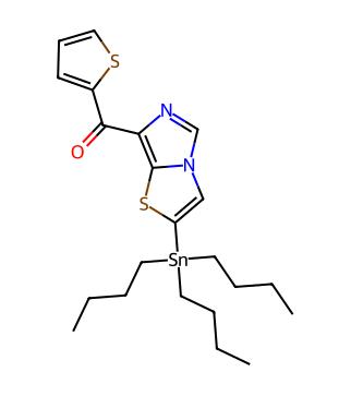 CCC[CH2][Sn]([CH2]CCC)([CH2]CCC)[c]1cn2cnc(C(=O)c3cccs3)c2s1